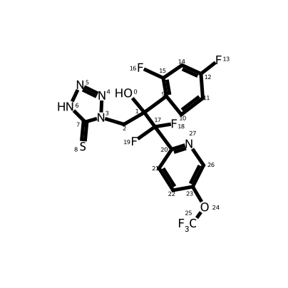 OC(Cn1nn[nH]c1=S)(c1ccc(F)cc1F)C(F)(F)c1ccc(OC(F)(F)F)cn1